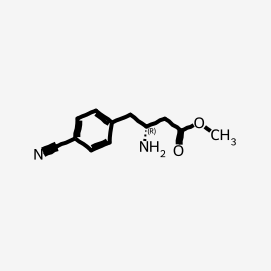 COC(=O)C[C@H](N)Cc1ccc(C#N)cc1